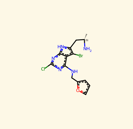 C[C@H](N)Cc1[nH]c2nc(Cl)nc(NCc3ccco3)c2c1Br